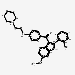 COc1ccc2c(C(=O)c3ccc(OCCN4CCCCC4)cc3)c(-c3ccccc3O)sc2c1